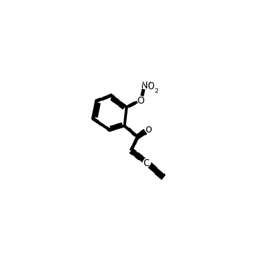 C=C=CC(=O)c1ccccc1O[N+](=O)[O-]